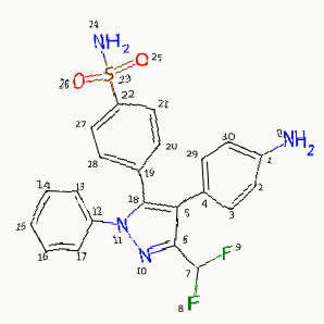 Nc1ccc(-c2c(C(F)F)nn(-c3ccccc3)c2-c2ccc(S(N)(=O)=O)cc2)cc1